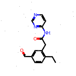 CCc1ccc(C=O)cc1CC(=O)Nc1ccncn1